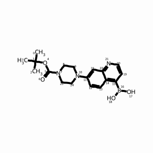 CC(C)(C)OC(=O)N1CCN(c2ccc3c(B(O)O)ccnc3c2)CC1